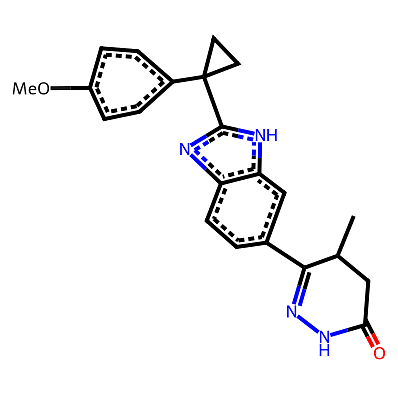 COc1ccc(C2(c3nc4ccc(C5=NNC(=O)CC5C)cc4[nH]3)CC2)cc1